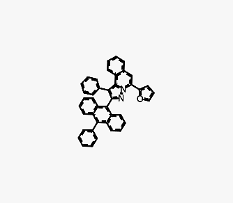 c1ccc(-c2c3ccccc3c(-c3nn4c(-c5ccco5)cc5ccccc5c4c3-c3ccccc3)c3ccccc23)cc1